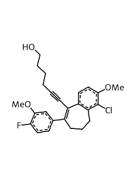 COc1cc(C2=C(C#CCCCCO)c3ccc(OC)c(Cl)c3CCC2)ccc1F